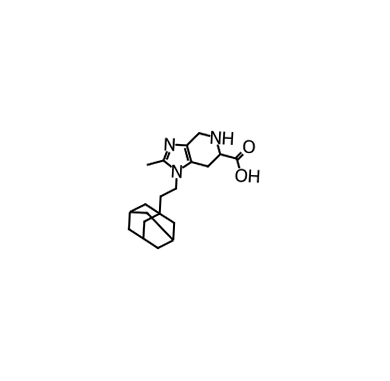 Cc1nc2c(n1CCC13CC4CC(CC(C4)C1)C3)CC(C(=O)O)NC2